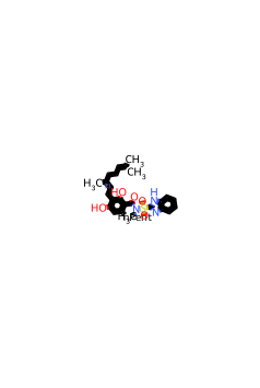 CCCCCc1cc(O)c(C/C=C(\C)CCC=C(C)C)c(O)c1C(=O)N(C)S(=O)(=O)c1nc2ccccc2[nH]1